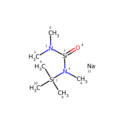 CN(C)[Si](=O)N(C)[Si](C)(C)C.[Na]